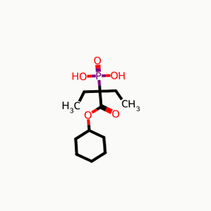 CCC(CC)(C(=O)OC1CCCCC1)P(=O)(O)O